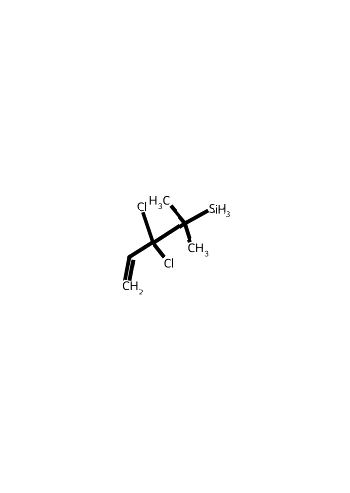 C=CC(Cl)(Cl)C(C)(C)[SiH3]